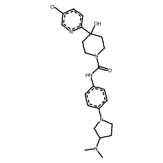 CN(C)C1CCN(c2ccc(NC(=O)N3CCC(O)(c4ccc(Cl)cn4)CC3)cc2)C1